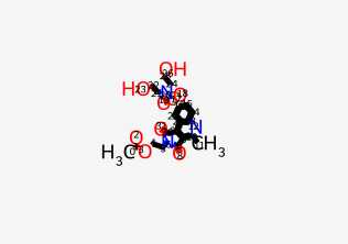 CC(=O)OCCN1C(=O)c2c(C)nc3ccc(S(=O)(=O)N(CCO)CCO)cc3c2C1=O